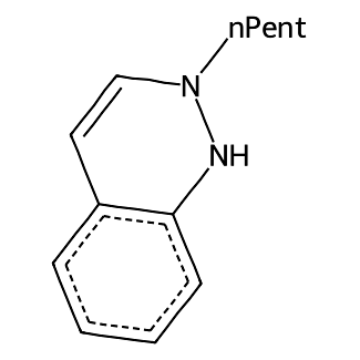 CCCCCN1C=Cc2ccccc2N1